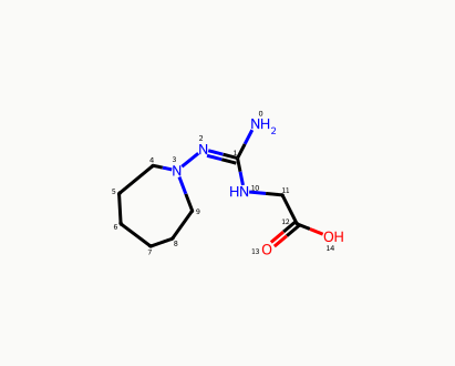 NC(=NN1CCCCCC1)NCC(=O)O